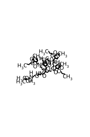 CCCCOc1c(C(=O)NCCCN(CCCC(C(=O)NCCOCCNC(=O)OC(C)(C)C)N(CCCNC(=O)c2ccn(C)c(=O)c2OCCCC)C(=O)c2ccn(C)c(=O)c2OCCCC)C(=O)c2ccn(C)c(=O)c2OCCCC)ccn(C)c1=O